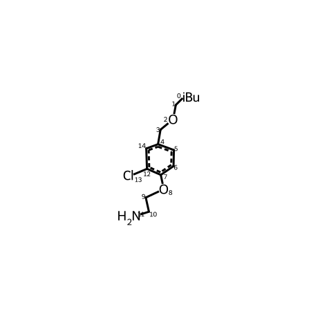 CCC(C)COCc1ccc(OCCN)c(Cl)c1